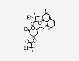 CCC(C)(C)C(=O)O[C@H]1CC(=O)OC(CC[C@@H]2C3C(=C[C@H](C)C[C@@H]3OC(=O)C(C)(C)CC)C=C[C@@H]2C)C1